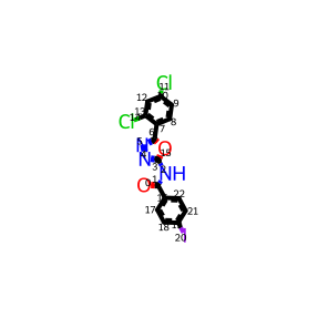 O=C(Nc1nnc(-c2ccc(Cl)cc2Cl)o1)c1ccc(I)cc1